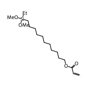 C=CC(=O)OCCCCCCCCCCC[Si](CC)(OC)OC